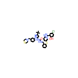 CC(C)(C)c1cc(NC(=O)NCc2ccccc2Sc2ccc3nnc(-c4cc(Cl)ccc4O)n3c2)n(-c2cccc(CN3CCSCC3)c2)n1